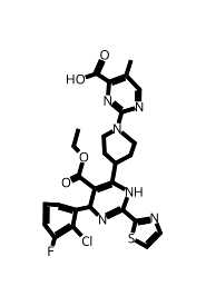 CCOC(=O)C1=C(C2CCN(c3ncc(C)c(C(=O)O)n3)CC2)NC(c2nccs2)=NC1c1cccc(F)c1Cl